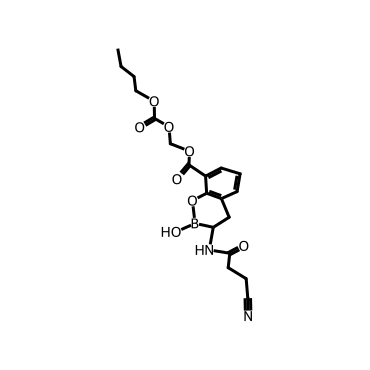 CCCCOC(=O)OCOC(=O)c1cccc2c1OB(O)C(NC(=O)CCC#N)C2